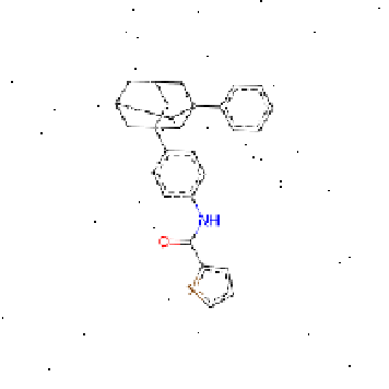 O=C(Nc1ccc(C23CC4CC(CC(c5ccccc5)(C4)C2)C3)cc1)c1cccs1